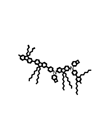 C=CCCCC1(CCCC=C)c2cc(C)ccc2-c2ccc(-c3ccc4c(c3)C(CCCCCCCC)(CCCCCCCC)c3cc(-c5ccc(N(c6ccc7c(c6)CC7)c6ccc7c(c6)C(CCCCCCCC)(CCCCCCCC)c6cc(N(c8ccc(-c9cc(CCCCCC)c(C)cc9CCCCCC)cc8)c8ccc9c(c8)CC9)ccc6-7)cc5)ccc3-4)cc21